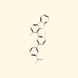 Cc1ccc2c(oc3ncccc32)c1-c1cc(-c2cccc(C(C)C)c2)cc[n+]1C